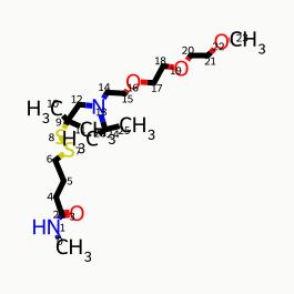 CNC(=O)CCCSSC(C)(C)CN(CCOCCOCCOC)C(C)C